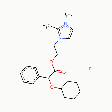 Cc1n(CCOC(=O)C(OC2CCCCC2)c2ccccc2)cc[n+]1C.[I-]